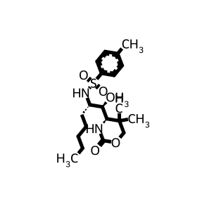 CCCCC[C@H](NS(=O)(=O)c1ccc(C)cc1)[C@@H](O)[C@H]1NC(=O)OCC1(C)C